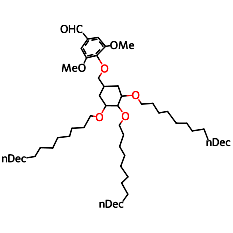 CCCCCCCCCCCCCCCCCCOC1CC(COc2c(OC)cc(C=O)cc2OC)CC(OCCCCCCCCCCCCCCCCCC)C1OCCCCCCCCCCCCCCCCCC